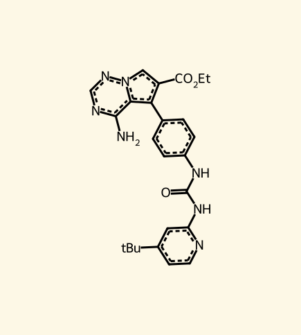 CCOC(=O)c1cn2ncnc(N)c2c1-c1ccc(NC(=O)Nc2cc(C(C)(C)C)ccn2)cc1